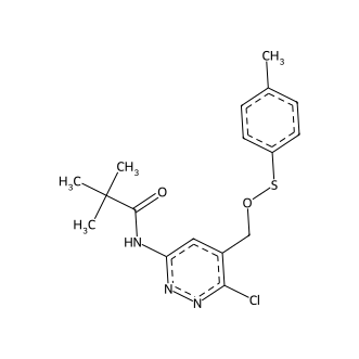 Cc1ccc(SOCc2cc(NC(=O)C(C)(C)C)nnc2Cl)cc1